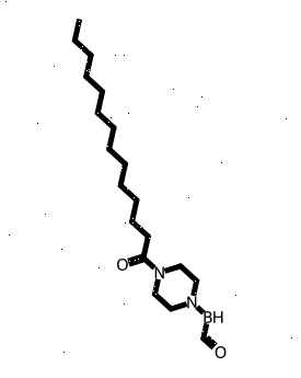 CCCCCCCCCCCCCC(=O)N1CCN(BC=O)CC1